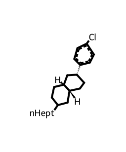 CCCCCCCC1CC[C@@H]2C[C@H](c3ccc(Cl)cc3)CC[C@@H]2C1